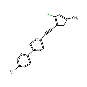 CC1=CC(F)=C(C#Cc2ccc(-c3ccc(C)cc3)cc2)C1